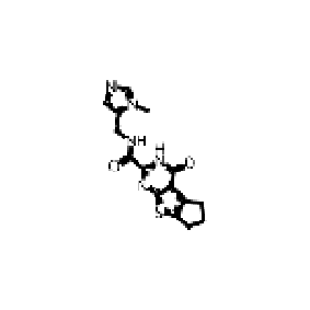 Cn1cncc1CNC(=O)c1nc2sc3c(c2c(=O)[nH]1)CCC3